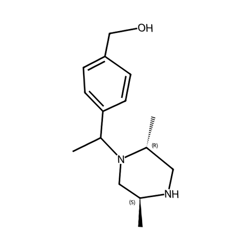 CC(c1ccc(CO)cc1)N1C[C@H](C)NC[C@H]1C